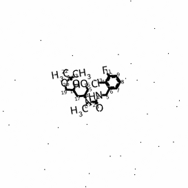 CN(C(=O)NCc1cccc(F)c1Cl)C(CO)CC1COC(C)(C)O1